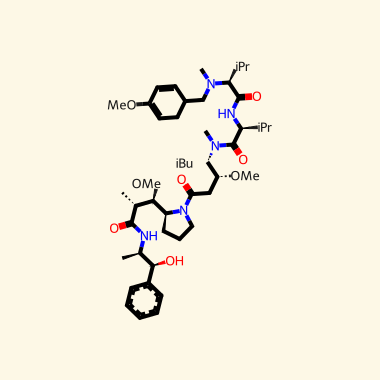 CC[C@H](C)[C@@H]([C@@H](CC(=O)N1CCC[C@H]1[C@H](OC)[C@@H](C)C(=O)N[C@H](C)[C@@H](O)c1ccccc1)OC)N(C)C(=O)[C@@H](NC(=O)[C@H](C(C)C)N(C)CC1C=CC(OC)=CC1)C(C)C